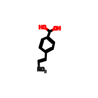 O=[N+]([O-])C=Cc1ccc(C(O)O)cc1